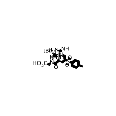 Cc1ccc(S(=O)(=O)C(CNC(=N)N)C[C@H](NC(=O)OC(C)(C)C)C(=O)NCC(=O)O)cc1